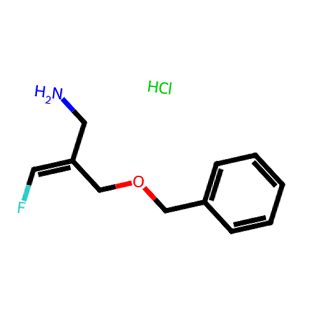 Cl.NC/C(=C/F)COCc1ccccc1